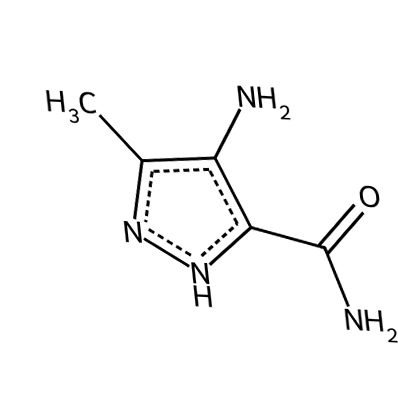 Cc1n[nH]c(C(N)=O)c1N